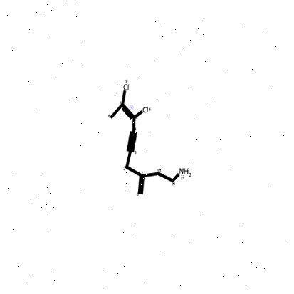 C=C(CC#C/C(Cl)=C(\C)Cl)CCN